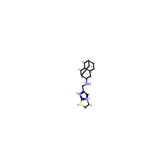 c1c(CNC2CC3CCC4CC3CC2C4)nc2n1CCS2